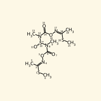 CSC(C)=NOC(=O)N(C)[S+]([O-])N(C)C(=O)ON=C(C)SC